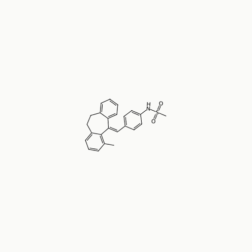 Cc1cccc2c1C(=Cc1ccc(NS(C)(=O)=O)cc1)c1ccccc1CC2